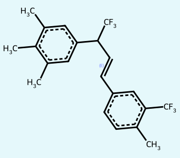 Cc1ccc(/C=C/C(c2cc(C)c(C)c(C)c2)C(F)(F)F)cc1C(F)(F)F